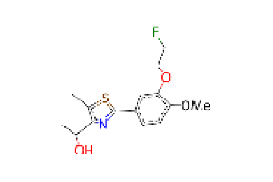 COc1ccc(-c2nc(C(C)O)c(C)s2)cc1OCCF